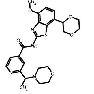 COc1ccc(C2COCCO2)c2sc(NC(=O)c3ccnc(C(C)N4CCOCC4)c3)nc12